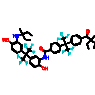 CCC(C)(CC)Nc1cc(C(c2ccc(O)c(NC(=O)c3ccc(C(c4ccc(C(=O)C(C)(CC)CC)cc4)(C(F)(F)F)C(F)(F)F)cc3)c2)(C(F)(F)F)C(F)(F)F)ccc1O